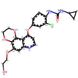 O=C(Nc1ccc(Oc2ccnc3cc(OCCO)c4c(c23)OCCO4)cc1Cl)NC1CC1